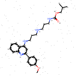 COc1ccc(-c2cc(NCCCNCCCNC(=O)OCC(C)C)c3ccccc3n2)cc1